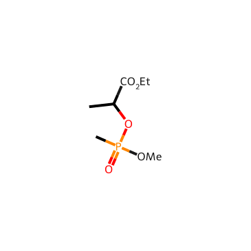 CCOC(=O)C(C)OP(C)(=O)OC